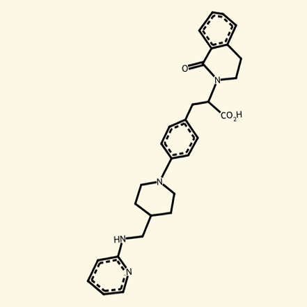 O=C(O)C(Cc1ccc(N2CCC(CNc3ccccn3)CC2)cc1)N1CCc2ccccc2C1=O